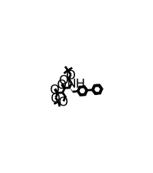 CC(C)(C)OC(=O)N[C@H](Cc1ccc(-c2ccccc2)cc1)C(=O)C1COC(C)(C)OC1=O